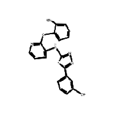 CC(C)(C)c1ccccc1Oc1ncccc1Nc1nnc(-c2cccc(O)c2)s1